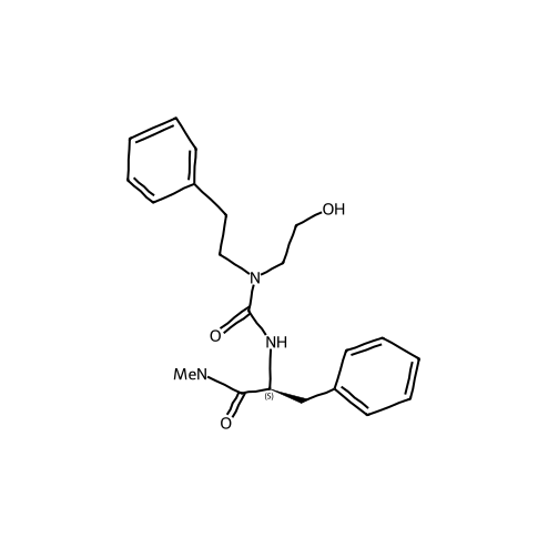 CNC(=O)[C@H](Cc1ccccc1)NC(=O)N(CCO)CCc1ccccc1